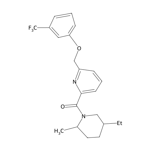 CCC1CCC(C)N(C(=O)c2cccc(COc3cccc(C(F)(F)F)c3)n2)C1